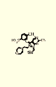 CC(C)(C)Cn1c2nc(C#N)ncc2c(=O)n1CCN1CCOCC1.Cc1ccc(S(=O)(=O)O)cc1